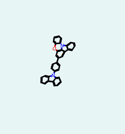 c1ccc2c(c1)Oc1cc(-c3ccc(-n4c5ccccc5c5ccccc54)cc3)cc3c4ccccc4n-2c13